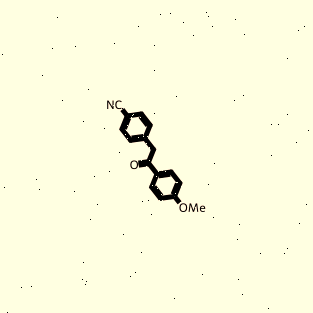 COc1ccc(C(=O)Cc2ccc(C#N)cc2)cc1